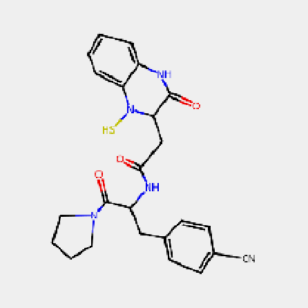 N#Cc1ccc(CC(NC(=O)CC2C(=O)Nc3ccccc3N2S)C(=O)N2CCCC2)cc1